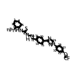 CCCc1ccccc1NC(=S)N/N=C/c1ccc(-c2ncn(-c3ccc(OC(F)(F)F)cc3)n2)cc1